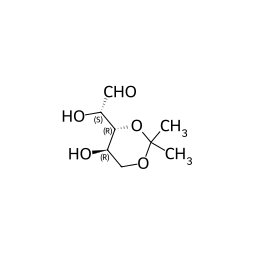 CC1(C)OC[C@@H](O)[C@H]([C@H](O)C=O)O1